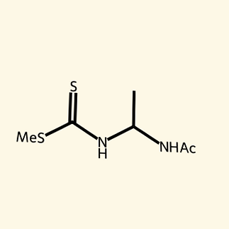 CSC(=S)NC(C)NC(C)=O